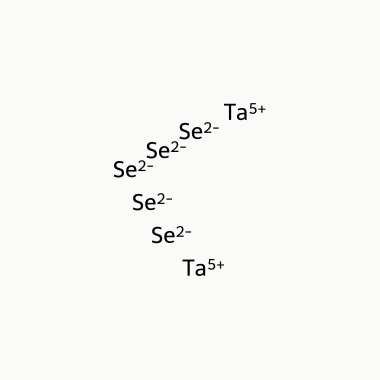 [Se-2].[Se-2].[Se-2].[Se-2].[Se-2].[Ta+5].[Ta+5]